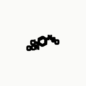 O=C=NC1=CCC(Cl)(N=C=O)C=C1